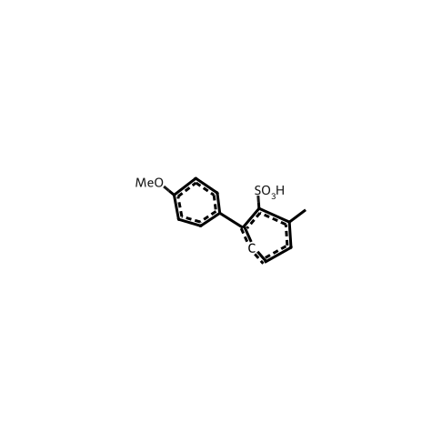 COc1ccc(-c2cccc(C)c2S(=O)(=O)O)cc1